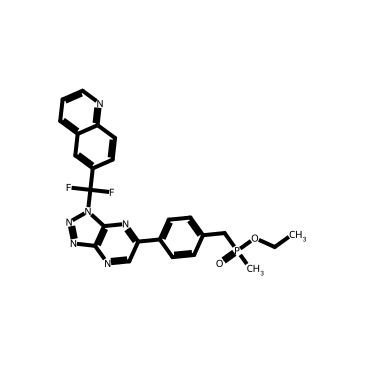 CCOP(C)(=O)Cc1ccc(-c2cnc3nnn(C(F)(F)c4ccc5ncccc5c4)c3n2)cc1